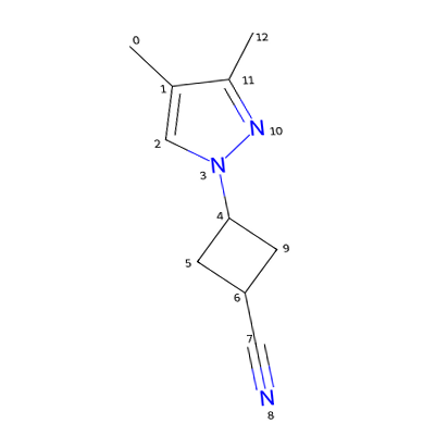 Cc1cn(C2CC(C#N)C2)nc1C